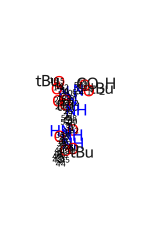 CC(C)(C)OC(=O)CN(CCN(CCN(CC(=O)OC(C)(C)C)CC(=O)OC(C)(C)C)CC(=O)NCc1ccc(C(=O)NNC(=O)[C@@H](CCCc2ccccc2)NC(=O)OC(C)(C)C)cc1)CC(=O)O